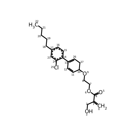 C=C(CO)C(=O)OCCOC1C=CC(c2ccc(CCCCC)cc2Cl)=CC1